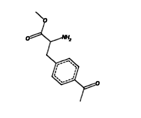 COC(=O)C(N)Cc1ccc(C(C)=O)cc1